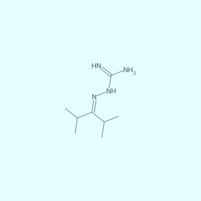 CC(C)C(=NNC(=N)N)C(C)C